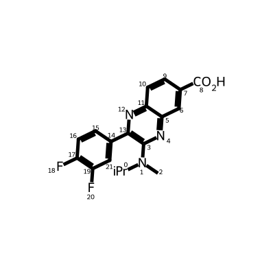 CC(C)N(C)c1nc2cc(C(=O)O)ccc2nc1-c1ccc(F)c(F)c1